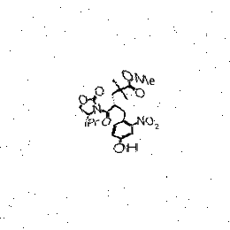 COC(=O)C(C)(C)C[C@H](Cc1ccc(O)cc1[N+](=O)[O-])C(=O)N1C(=O)OC[C@@H]1C(C)C